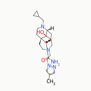 Cc1cnn(CCN2CC[C@]34CCN(CC5CC5)[C@H](Cc5ccc(C(N)=O)cc53)[C@]4(O)CC2)c1